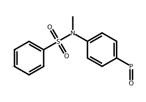 CN(c1ccc(P=O)cc1)S(=O)(=O)c1cc[c]cc1